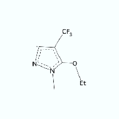 CCOc1c(C(F)(F)F)[c]nn1C